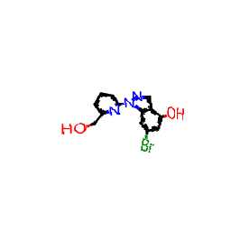 OCc1cccc(-n2ncc3c(O)cc(Br)cc32)n1